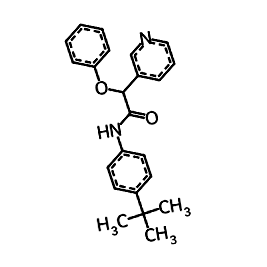 CC(C)(C)c1ccc(NC(=O)C(Oc2ccccc2)c2cccnc2)cc1